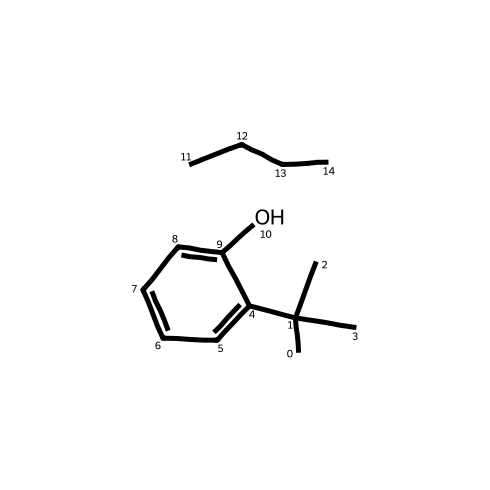 CC(C)(C)c1ccccc1O.CCCC